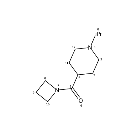 CC(C)N1CCC(C(=O)N2CCC2)CC1